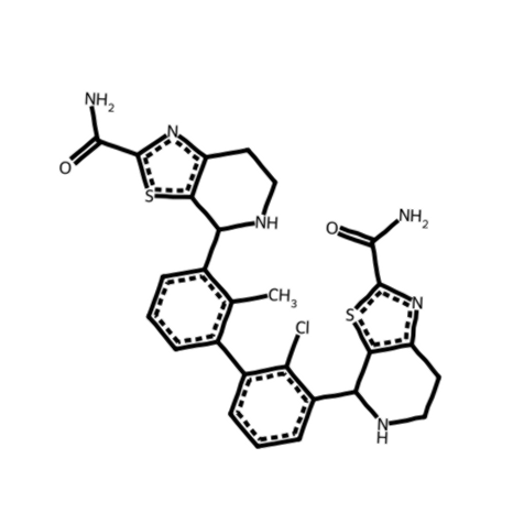 Cc1c(-c2cccc(C3NCCc4nc(C(N)=O)sc43)c2Cl)cccc1C1NCCc2nc(C(N)=O)sc21